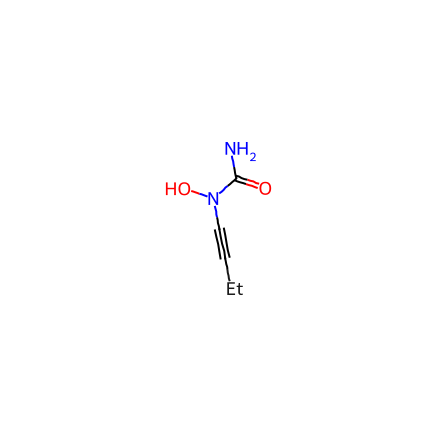 CCC#CN(O)C(N)=O